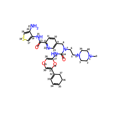 CN1CCN(CCN(Cc2ccc(C(=O)Nc3cscc3N)nc2)C(=O)NC2=COC=C(C3=CC=CCC3)O2)CC1